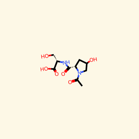 CC(=O)N1CC(O)C[C@H]1C(=O)N[C@@H](CO)C(=O)O